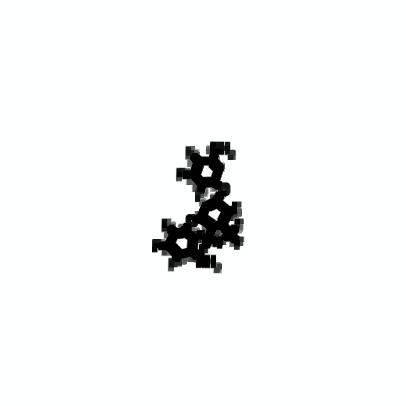 Nc1cc(Oc2cc(Oc3cc(N)c(F)c(F)c3F)c(C(F)(F)F)c(C(F)(F)F)c2F)c(F)c(F)c1F